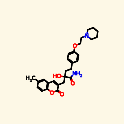 Cc1ccc2oc(=O)c(CC(O)(CCc3ccc(OCCN4CCCCC4)cc3)C(N)=O)cc2c1